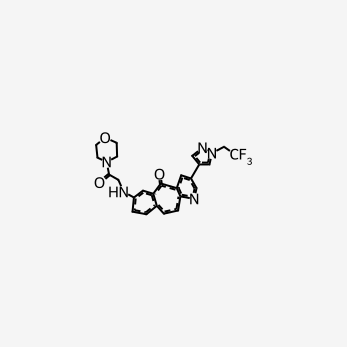 O=C(CNc1ccc2ccc3ncc(-c4cnn(CC(F)(F)F)c4)cc3c(=O)c2c1)N1CCOCC1